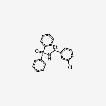 CCC(NP(=O)(c1ccccc1)c1ccccc1)c1cccc(Cl)c1